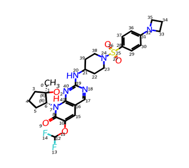 C[C@@]1(O)CCC[C@H]1n1c(=O)c(OC(F)F)cc2cnc(NC3CCN(S(=O)(=O)c4ccc(N5CCC5)cc4)CC3)nc21